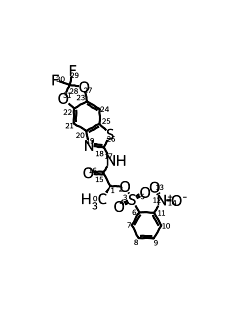 C[C@H](OS(=O)(=O)c1ccccc1[N+](=O)[O-])C(=O)Nc1nc2cc3c(cc2s1)OC(F)(F)O3